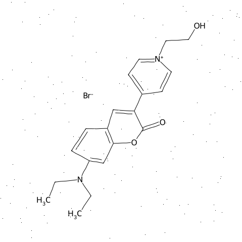 CCN(CC)c1ccc2cc(-c3cc[n+](CCO)cc3)c(=O)oc2c1.[Br-]